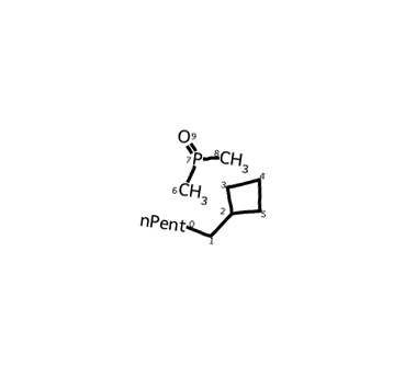 CCCCCCC1CCC1.C[P](C)=O